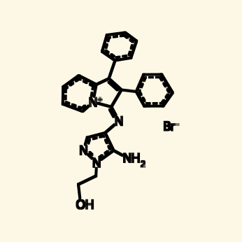 Nc1c(/N=C2/C(c3ccccc3)=C(c3ccccc3)c3cccc[n+]32)cnn1CCO.[Br-]